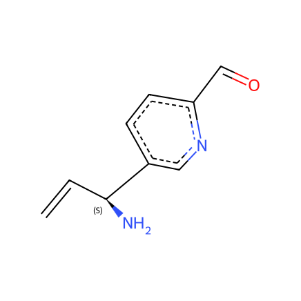 C=C[C@H](N)c1ccc(C=O)nc1